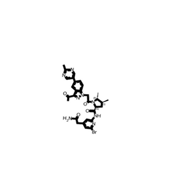 CC(=O)c1nn(CC(=O)N2[C@H](I)[C@@H](C)C[C@H]2C(=O)Nc2cc(CC(N)=O)cc(Br)n2)c2ccc(-c3cnc(C)nc3)cc12